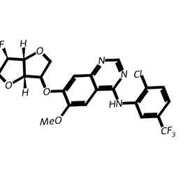 COc1cc2c(Nc3cc(C(F)(F)F)ccc3Cl)ncnc2cc1OC1CO[C@H]2[C@H](F)CO[C@@H]12